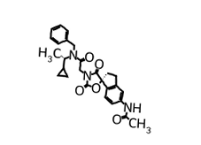 CC(=O)Nc1ccc2c(c1)CC[C@@]21OC(=O)N(CC(=O)N(Cc2ccccc2)[C@@H](C)C2CC2)C1=O